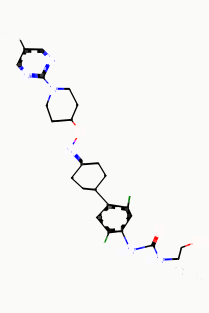 Cc1cnc(N2CCC(ON=C3CCC(c4cc(F)c(NC(=O)N[C@@H](C)CO)cc4F)CC3)CC2)nc1